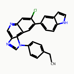 N#CCc1ccc(-n2cnc3cnc4cc(Cl)c(-c5ccc6[nH]ccc6c5)cc4c32)cc1